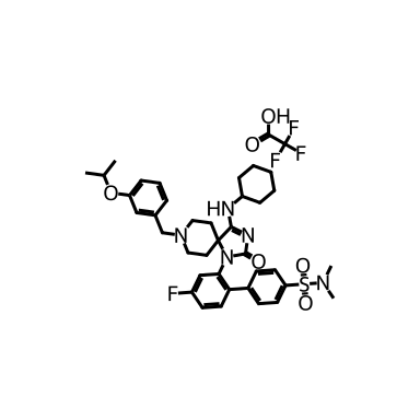 CC(C)Oc1cccc(CN2CCC3(CC2)C(NC2CCCCC2)=NC(=O)N3c2cc(F)ccc2-c2ccc(S(=O)(=O)N(C)C)cc2)c1.O=C(O)C(F)(F)F